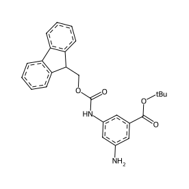 CC(C)(C)OC(=O)c1cc(N)cc(NC(=O)OCC2c3ccccc3-c3ccccc32)c1